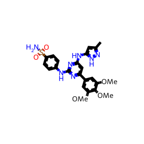 COc1cc(-c2cc(Nc3cc(C)n[nH]3)nc(Nc3ccc(S(N)(=O)=O)cc3)n2)cc(OC)c1OC